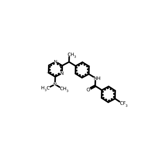 CC(c1ccc(NC(=O)c2ccc(C(F)(F)F)cc2)cc1)c1nc[c]c(N(C)C)n1